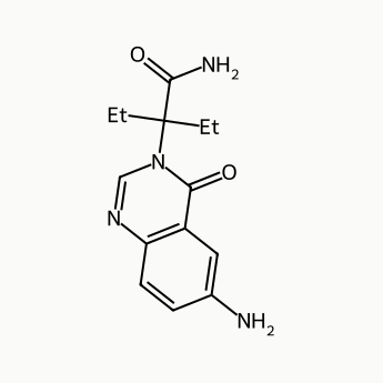 CCC(CC)(C(N)=O)n1cnc2ccc(N)cc2c1=O